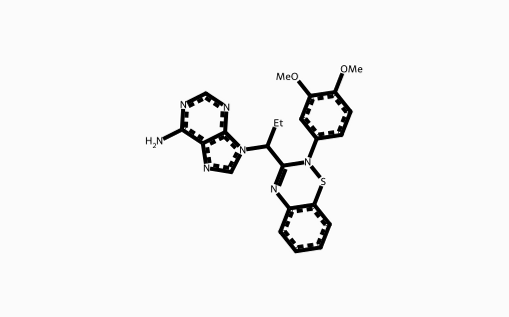 CCC(C1=Nc2ccccc2SN1c1ccc(OC)c(OC)c1)n1cnc2c(N)ncnc21